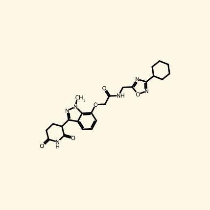 Cn1nc(C2CCC(=O)NC2=O)c2cccc(OCC(=O)NCc3nc(C4CCCCC4)no3)c21